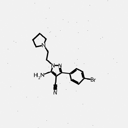 N#Cc1c(-c2ccc(Br)cc2)nn(CCN2CCCC2)c1N